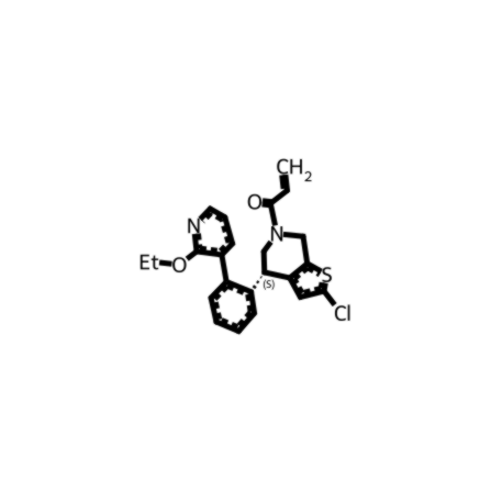 C=CC(=O)N1Cc2sc(Cl)cc2[C@H](c2ccccc2-c2cccnc2OCC)C1